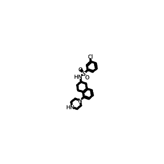 O=S(=O)(NC1CCc2c(cccc2N2CCNCC2)C1)c1cccc(Cl)c1